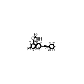 C[C@]1(c2cccc(F)c2)OC(=O)N[C@H]1c1cncc(C#Cc2ccccc2)c1